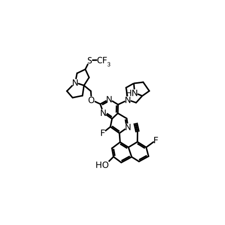 C#Cc1c(F)ccc2cc(O)cc(-c3ncc4c(N5CC6CCC(C5)N6)nc(OCC56CCCN5CC(SC(F)(F)F)C6)nc4c3F)c12